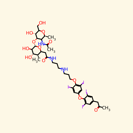 CC(=O)Cc1cc(I)c(Oc2cc(I)c(OCCCNCCCNC(=O)CC3O[C@@H](O[C@@H]4C(NC(C)=O)[C@H](C)OC(CO)[C@H]4O)C(O)[C@@H](O)[C@@H]3C)c(I)c2)c(I)c1